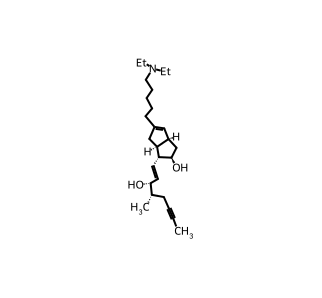 CC#CC[C@H](C)[C@H](O)/C=C/[C@@H]1[C@H]2CC(CCCCCN(CC)CC)=C[C@H]2C[C@H]1O